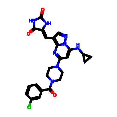 O=C1NC(=O)/C(=C/c2cnn3c(NC4CC4)cc(N4CCN(C(=O)c5cccc(Cl)c5)CC4)nc23)N1